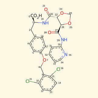 O=C(O)[C@H](Cc1ccc(OCc2c(Cl)cccc2Cl)cc1)NC(=O)[C@@H]1OCO[C@H]1C(=O)Nc1ccccn1